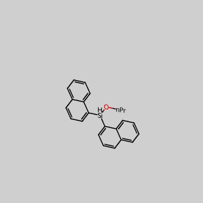 CCCO[SiH](c1cccc2ccccc12)c1cccc2ccccc12